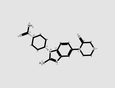 Nc1nc2cc(N3CCOCC3=O)ccc2n1[C@H]1CC[C@@H](C(N)=O)CC1